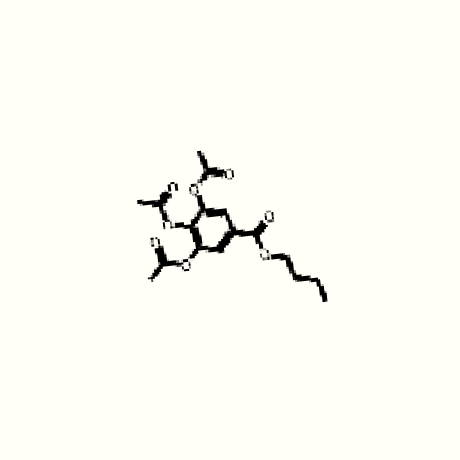 CCCCOC(=O)c1cc(OC(C)=O)c(OC(C)=O)c(OC(C)=O)c1